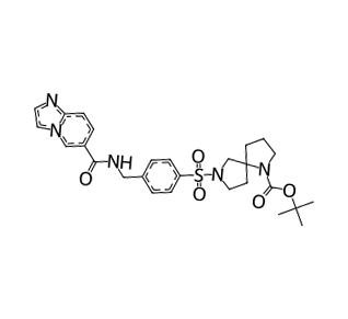 CC(C)(C)OC(=O)N1CCCC12CCN(S(=O)(=O)c1ccc(CNC(=O)c3ccc4nccn4c3)cc1)C2